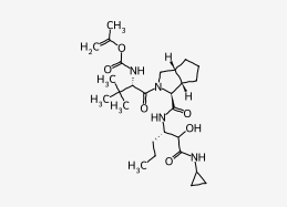 C=C(C)OC(=O)N[C@H](C(=O)N1C[C@@H]2CCC[C@@H]2[C@H]1C(=O)N[C@@H](CCC)C(O)C(=O)NC1CC1)C(C)(C)C